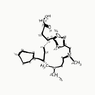 CN(C)CCN(C)Cc1noc([C@H](CCCC2CCCCC2)CC(=O)NO)n1